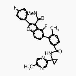 CNC(=O)c1c(-c2ccc(F)cc2)oc2ccc(-c3cc(C(=O)NC4(c5cnc(C)cn5)CC4)ccc3C)c(F)c12